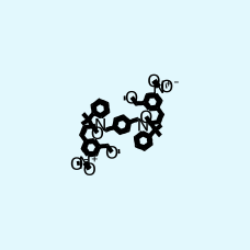 COCc1cc([N+](=O)[O-])cc2c1OC1(C=C2)N(Cc2ccc(CN3c4ccccc4C(C)(C)C34C=Cc3cc([N+](=O)[O-])cc(COC)c3O4)cc2)c2ccccc2C1(C)C